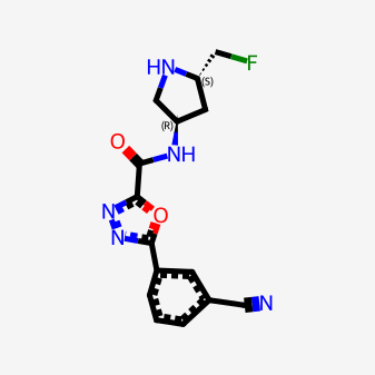 N#Cc1cccc(-c2nnc(C(=O)N[C@H]3CN[C@H](CF)C3)o2)c1